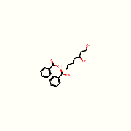 CCCCC(O)CCO.O=C(O)c1ccccc1.O=C(O)c1ccccc1